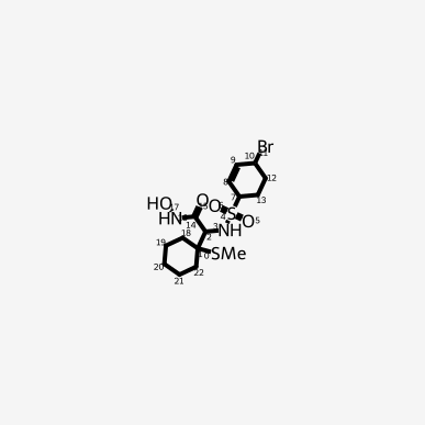 CSC1(C(NS(=O)(=O)C2C=CC(Br)CC2)C(=O)NO)CCCCC1